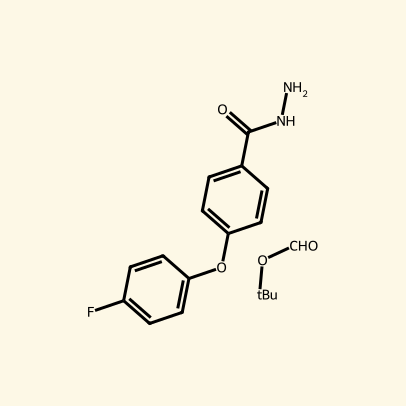 CC(C)(C)OC=O.NNC(=O)c1ccc(Oc2ccc(F)cc2)cc1